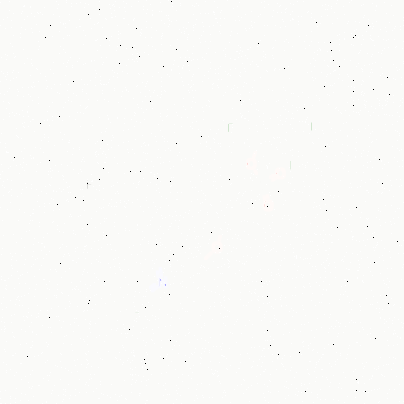 O=S(=O)(Oc1c(F)c(F)c(F)c(F)c1F)c1ccc2c(c1)OCCC2c1ccc(C(F)(F)F)cc1-c1ccc(F)nc1